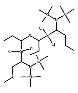 CCCC(N([Si](C)(C)C)[Si](C)(C)C)[Si](Cl)(Cl)C(CC)SC(CC)[Si](Cl)(Cl)C(CCC)N([Si](C)(C)C)[Si](C)(C)C